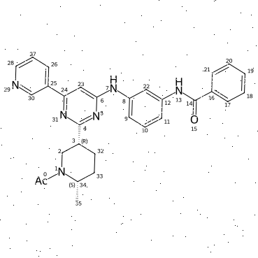 CC(=O)N1C[C@H](c2nc(Nc3cccc(NC(=O)c4ccccc4)c3)cc(-c3cccnc3)n2)CC[C@@H]1C